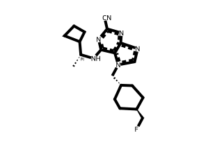 C[C@@H](Nc1nc(C#N)nc2ncn(C[C@H]3CC[C@H](CF)CC3)c12)C1CCC1